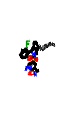 CNC1CCc2c1cn(S(=O)(=O)c1cnc3onc(C)c3c1)c2-c1ccccc1F